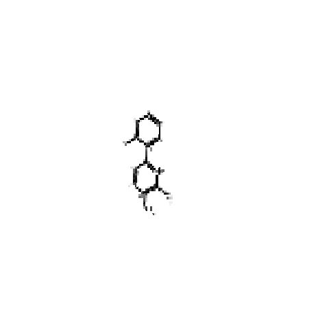 Cc1ccccc1-c1cnc(N)c(Cl)n1